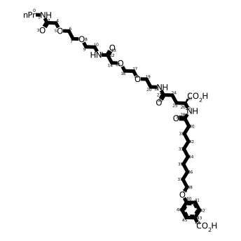 CCCNC(=O)COCCOCCNC(=O)COCCOCCNC(=O)CC[C@H](NC(=O)CCCCCCCCCOc1ccc(C(=O)O)cc1)C(=O)O